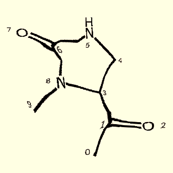 CC(=O)C1CNC(=O)N1C